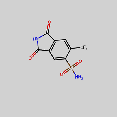 NS(=O)(=O)c1cc2c(cc1C(F)(F)F)C(=O)NC2=O